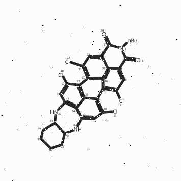 CCCCN1C(=O)c2cc(Cl)c3c4c(Cl)cc5c6c(cc(Cl)c(c7c(Cl)cc(c2c37)C1=O)c64)NC1CCCCC1N5